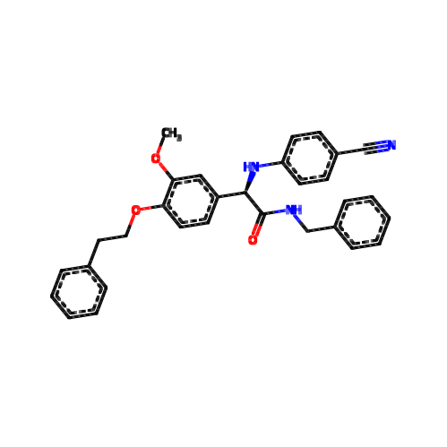 COc1cc([C@@H](Nc2ccc(C#N)cc2)C(=O)NCc2ccccc2)ccc1OCCc1ccccc1